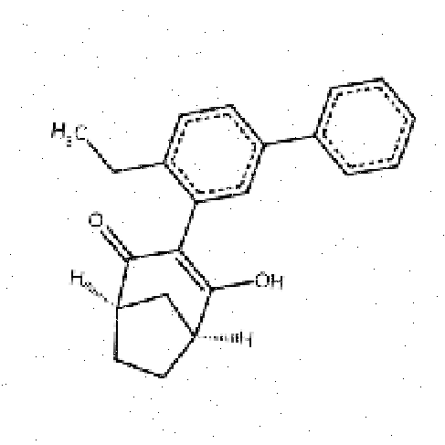 CCc1ccc(-c2ccccc2)cc1C1=C(O)[C@H]2CC[C@H](C2)C1=O